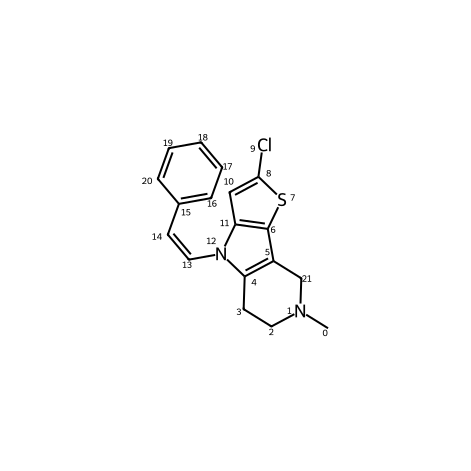 CN1CCc2c(c3sc(Cl)cc3n2/C=C\c2ccccc2)C1